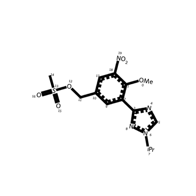 COc1c(-c2ncn(C(C)C)n2)cc(COS(C)(=O)=O)cc1[N+](=O)[O-]